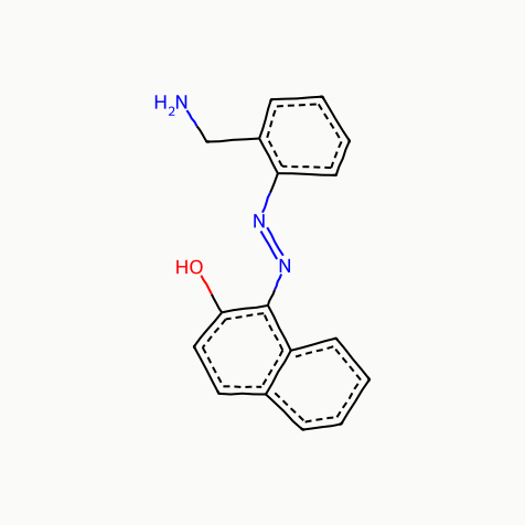 NCc1ccccc1N=Nc1c(O)ccc2ccccc12